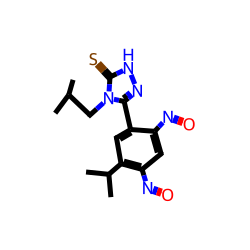 CC(C)Cn1c(-c2cc(C(C)C)c(N=O)cc2N=O)n[nH]c1=S